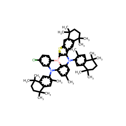 Cc1cc2c3c(c1)N(c1cc4c(cc1C)C(C)(C)CCC4(C)C)c1c(sc4cc5c(cc14)C(C)(C)CCC5(C)C)B3c1ccc(Cl)cc1N2c1cc2c(cc1C)C(C)(C)CCC2(C)C